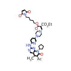 CCOC(=O)/C(=C/N1CCN(c2ccc(Nc3ncc4c(C)c(C(C)=O)c(=O)n(C5CCCC5)c4n3)nc2)CC1)C(=O)OCCCCCN1C(=O)C=CC1=O